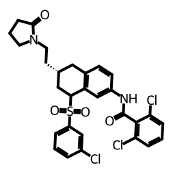 O=C(Nc1ccc2c(c1)C(S(=O)(=O)c1cccc(Cl)c1)C[C@H](CCN1CCCC1=O)C2)c1c(Cl)cccc1Cl